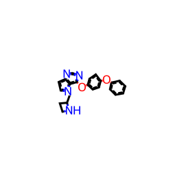 c1ccc(Oc2ccc(Oc3ncnc4ccn(CC5CCN5)c34)cc2)cc1